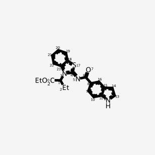 CCOC(=O)C(CC)n1c(=NC(=O)c2ccc3[nH]ccc3c2)sc2ccccc21